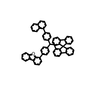 c1ccc2c(c1)-c1ccccc1C21c2ccccc2-c2cccc(CC(c3ccc(-c4cccc5ccccc45)cc3)c3ccc(-c4cccc5c4oc4ccccc45)cc3)c21